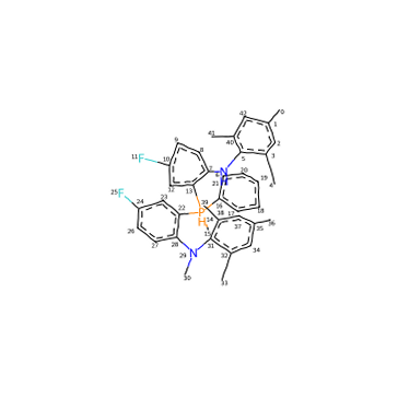 Cc1cc(C)c(Nc2ccc(F)cc2[PH](C)(c2ccccc2)c2cc(F)ccc2N(C)c2c(C)cc(C)cc2C)c(C)c1